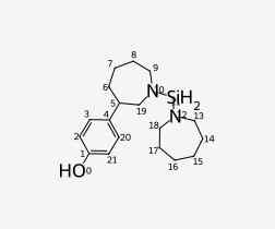 Oc1ccc(C2CCCCN([SiH2]N3CCCCCC3)C2)cc1